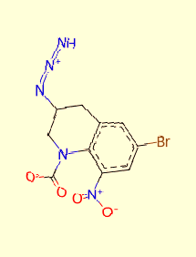 N=[N+]=NC1Cc2cc(Br)cc([N+](=O)[O-])c2N(C(=O)[O-])C1